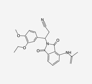 C=C(C)Nc1cccc2c1C(=O)N(C(CC#N)c1ccc(OC)c(OCC)c1)C2=O